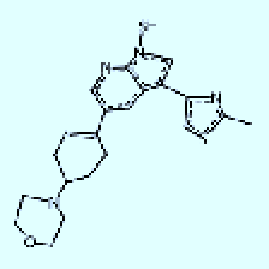 Cc1nc(-c2cn(S)c3ncc(C4=CCC(N5CCOCC5)CC4)cc23)cs1